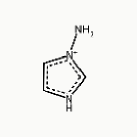 N[n+]1cc[nH]c1